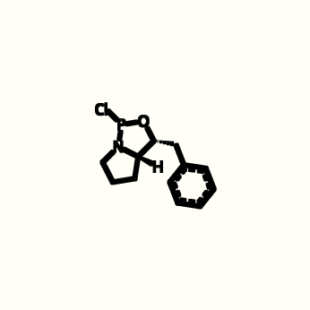 ClP1O[C@H](Cc2ccccc2)[C@@H]2CCCN21